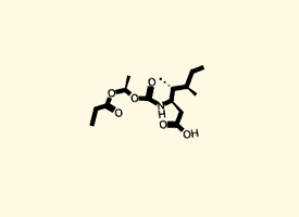 CCC(=O)O[C@@H](C)OC(=O)N[C@H](CC(=O)O)[C@H](C)[C@H](C)CC